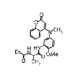 CCC(=O)NC(C)C(=O)Nc1cc(N(C)c2cc(=O)oc3ccccc23)ccc1OC